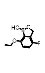 CCOc1ccc(F)c2c1B(O)OC2